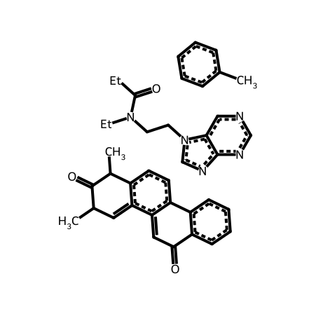 CC1C=c2c(ccc3c2=CC(=O)c2ccccc2-3)C(C)C1=O.CCC(=O)N(CC)CCn1cnc2ncncc21.Cc1ccccc1